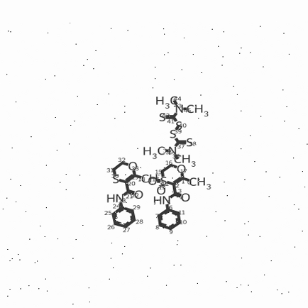 CC1=C(C(=O)Nc2ccccc2)S(=O)(=O)CCO1.CC1=C(C(=O)Nc2ccccc2)SCCO1.CN(C)C(=S)SSC(=S)N(C)C